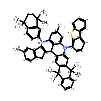 Cc1cc2c3c(c1)N(c1cccc4c1sc1ccccc14)c1cc4c(cc1C3C1=C(c3cc(C(C)(C)C)ccc3C1)N2c1ccc2c(c1)C(C)(C)CCC2(C)C)C(C)(C)c1ccccc1C4(C)C